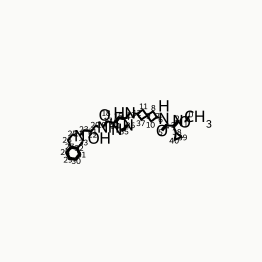 CON=C(C(=O)NC1CC2(C1)CC(Nc1cc(C(=O)NC[C@H](O)CN3CCc4ccccc4C3)ncn1)C2)C1CC1